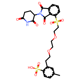 Cc1ccc(S(=O)(=O)O)c(CCOCCOCCS(=O)(=O)c2cccc3c2C(=O)N(C2CCC(=O)NC2=O)C3=O)c1